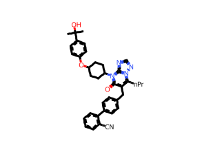 CCCc1c(Cc2ccc(-c3ccccc3C#N)cc2)c(=O)n(C2CCC(Oc3ccc(C(C)(C)O)cc3)CC2)c2ncnn12